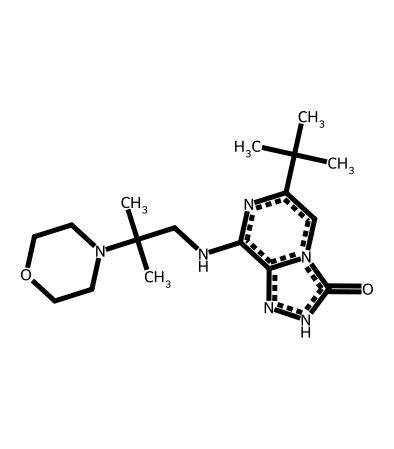 CC(C)(C)c1cn2c(=O)[nH]nc2c(NCC(C)(C)N2CCOCC2)n1